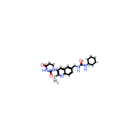 Cc1nc2ccc(CNC(=O)NC3CCCCC3)cc2cc1N1CCC(=O)NC1=O